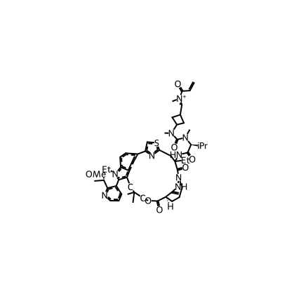 C=CC(=O)/[N+](C)=C/C1CC(N(C)C(=O)N(C)[C@H](C(=O)NC2(CC)Cc3nc(cs3)-c3ccc4c(c3)c(c(-c3cccnc3[C@H](C)OC)n4CC)CC(C)(C)COC(=O)[C@@H]3CCCN(NC3=C)C2=O)C(C)C)C1